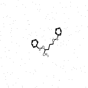 CC(CCCOSc1ccccc1)OSc1ccccc1